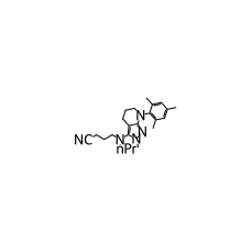 CCCN(CCCC#N)c1c2c(nn1C)N(c1c(C)cc(C)cc1C)CCC2